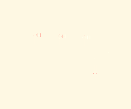 CC(C)=C(O)CC(O)CC(O)C(=O)C(C)(C)C